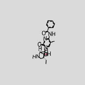 CC[C@@]12CN[C@@H](C(n3cc(C)c(NC(=O)c4ccccc4)nc3=O)O1)[C@@H]2O